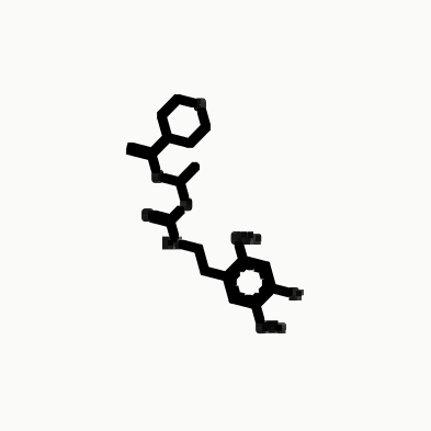 C=C(OC(C)OC(=O)NCCc1cc(OC)c(Br)cc1OC)C1CCOCC1